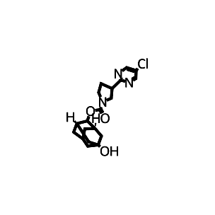 O=C(OC1[C@@H]2CC3C[C@H]1CC(O)(C3)C2)N1CCC(c2ncc(Cl)cn2)C1